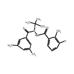 Cc1cc(C)cc(C(=O)N(NC(=O)c2cccc(Cl)c2C)C(C)(C)C)c1